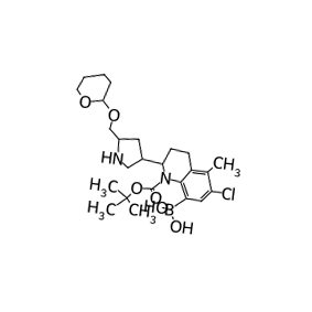 Cc1c(Cl)cc(B(O)O)c2c1CCC(C1CNC(COC3CCCCO3)C1)N2C(=O)OC(C)(C)C